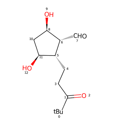 CC(C)(C)C(=O)CC[C@H]1[C@@H](C=O)[C@H](O)C[C@@H]1O